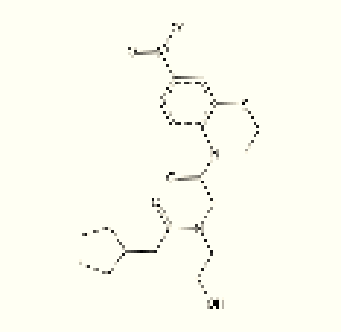 O=C(CC1CCCC1)N(CCO)CC(=O)N1CCSc2cc([N+](=O)[O-])ccc21